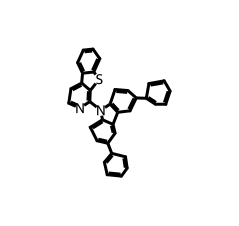 c1ccc(-c2ccc3c(c2)c2cc(-c4ccccc4)ccc2n3-c2nccc3c2sc2ccccc23)cc1